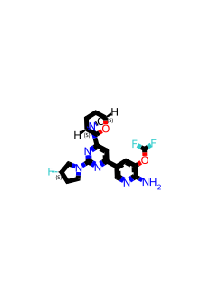 Nc1ncc(-c2cc(N3C[C@@H]4CC[C@H]3CO4)nc(N3CC[C@H](F)C3)n2)cc1OC(F)F